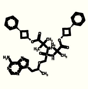 C[C@H](Cn1cnc2c(N)ncnc21)OCP(=O)(NC(C)(C)C(=O)O[C@H]1C[C@@H](c2ccccc2)C1)NC(C)(C)C(=O)O[C@H]1C[C@@H](c2ccccc2)C1